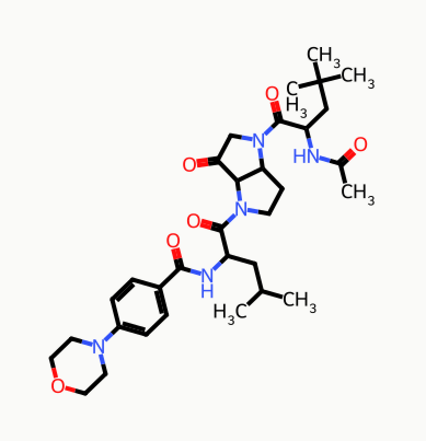 CC(=O)NC(CC(C)(C)C)C(=O)N1CC(=O)C2C1CCN2C(=O)C(CC(C)C)NC(=O)c1ccc(N2CCOCC2)cc1